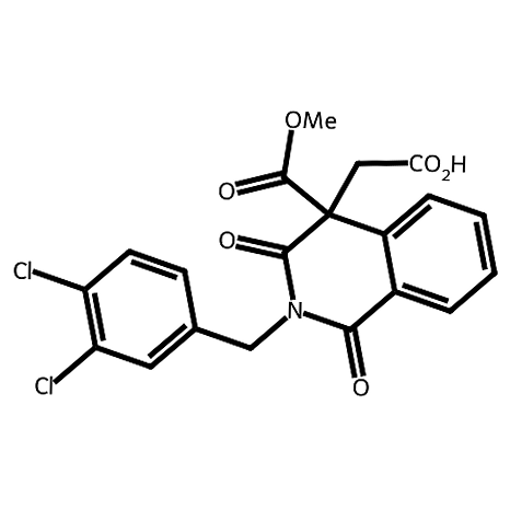 COC(=O)C1(CC(=O)O)C(=O)N(Cc2ccc(Cl)c(Cl)c2)C(=O)c2ccccc21